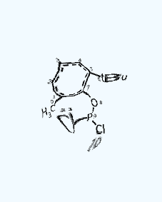 Cc1cccc(C(C)(C)C)c1OP(Cl)Cl